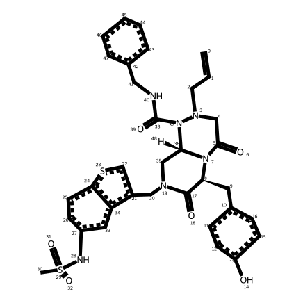 C=CCN1CC(=O)N2[C@@H](Cc3ccc(O)cc3)C(=O)N(Cc3csc4ccc(NS(C)(=O)=O)cc34)C[C@@H]2N1C(=O)NCc1ccccc1